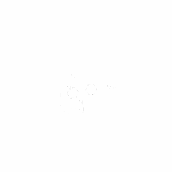 COc1c(F)cc(-c2c(CNCC3CCOCC3)nc(Cl)c(C(OC(C)(C)C)C(=O)O)c2N2CCC(C)(C)CC2)cc1F